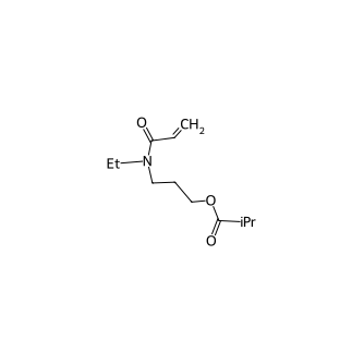 C=CC(=O)N(CC)CCCOC(=O)C(C)C